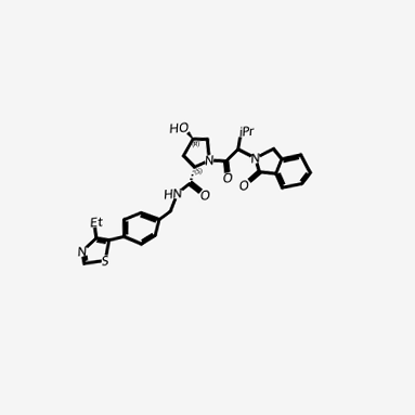 CCc1ncsc1-c1ccc(CNC(=O)[C@@H]2C[C@@H](O)CN2C(=O)C(C(C)C)N2Cc3ccccc3C2=O)cc1